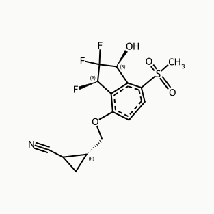 CS(=O)(=O)c1ccc(OC[C@@H]2CC2C#N)c2c1[C@H](O)C(F)(F)[C@@H]2F